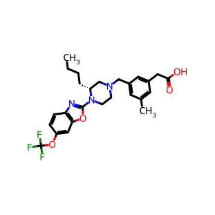 CCCC[C@@H]1CN(Cc2cc(C)cc(CC(=O)O)c2)CCN1c1nc2ccc(OC(F)(F)F)cc2o1